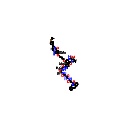 COc1cc2c(cc1OCCCCCOC1CC3NC(O)[C@@H]4CC5(CC5)CN4C(=O)C3(Cc3ccc(NC(=O)[C@H](C)NC(=O)[C@@H](NC(=O)CNC(=O)CNC(=O)CCC(=O)N4Cc5ccccc5C#Cc5ccccc54)C(C)C)cc3)CC1OC)NC[C@@H]1CC(c3ccc(SC4CC4)cc3)=CN1C2=O